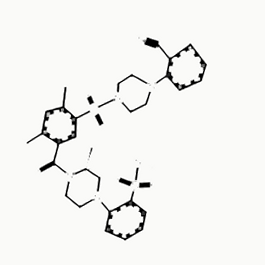 Cc1cc(C)c(S(=O)(=O)N2CCN(c3ccccc3C#N)CC2)cc1C(=O)N1CCN(c2ccccc2S(N)(=O)=O)C[C@@H]1C